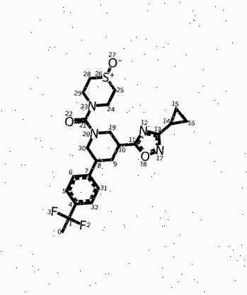 CC(F)(F)c1ccc(C2CC(c3nc(C4CC4)no3)CN(C(=O)N3CC[S+]([O-])CC3)C2)cc1